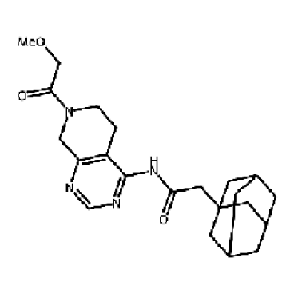 COCC(=O)N1CCc2c(ncnc2NC(=O)CC23CC4CC(CC(C4)C2)C3)C1